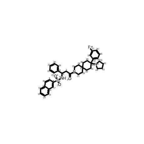 O=C(CC(NS(=O)(=O)c1ccc2ccccc2c1)c1ccccc1)N1CCC2(CC1)CCC(c1cccc(F)c1)(N1CCCC1)CC2